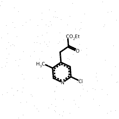 CCOC(=O)C(=O)Cc1cc(Cl)ncc1C